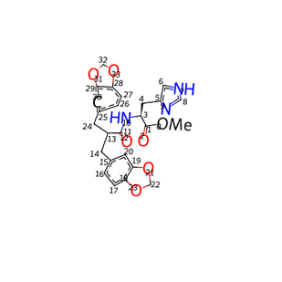 COC(=O)[C@H](Cc1c[nH]cn1)NC(=O)C(Cc1ccc2c(c1)OCO2)Cc1ccc2c(c1)OCO2